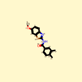 CCOc1ccc2nc(NC(=O)c3ccc(C)c(C)c3)sc2c1